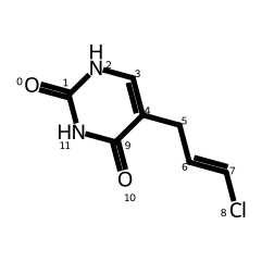 O=c1[nH]cc(CC=CCl)c(=O)[nH]1